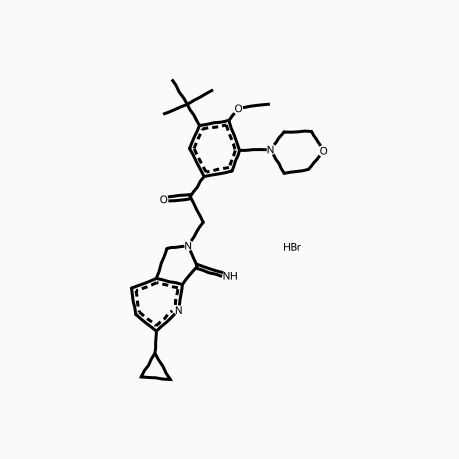 Br.COc1c(N2CCOCC2)cc(C(=O)CN2Cc3ccc(C4CC4)nc3C2=N)cc1C(C)(C)C